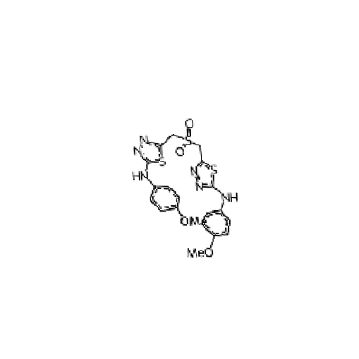 COc1ccc(Nc2nnc(CS(=O)(=O)Cc3nnc(Nc4ccc(OC)cc4)s3)s2)cc1